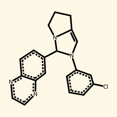 Clc1cccc(N2C=C3CCCN3C2c2ccc3nccnc3c2)c1